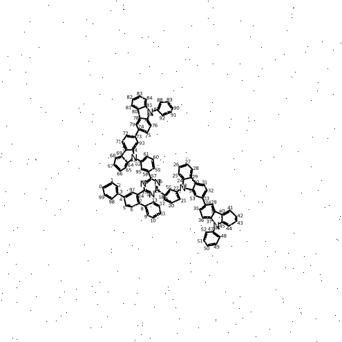 c1ccc(-c2ccc(-c3ccccc3)c(-c3nc(-c4cccc(-n5c6ccccc6c6ccc(-c7ccc8c(c7)c7ccccc7n8-c7ccccc7)cc65)c4)nc(-c4cccc(-n5c6ccccc6c6ccc(-c7ccc8c(c7)c7ccccc7n8-c7ccccc7)cc65)c4)n3)c2)cc1